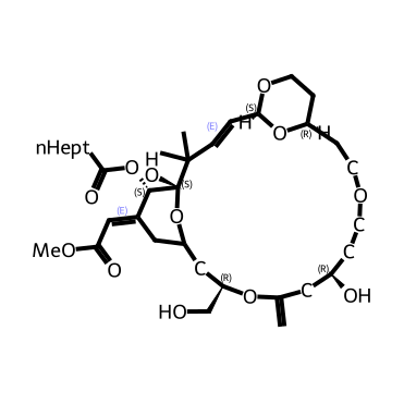 C=C1C[C@H](O)CCOCC[C@@H]2CCO[C@H](/C=C/C(C)(C)[C@]3(O)OC(C/C(=C\C(=O)OC)[C@@H]3OC(=O)CCCCCCC)C[C@H](CO)O1)O2